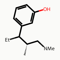 CCC(c1cccc(O)c1)[C@@H](C)CNC